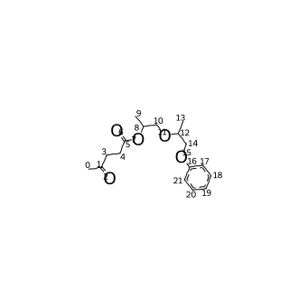 CC(=O)CCC(=O)OC(C)COC(C)COc1ccccc1